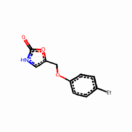 CCc1ccc(OCc2c[nH]c(=O)o2)cc1